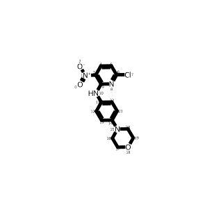 O=[N+]([O-])c1ccc(Cl)nc1Nc1ccc(N2CCOCC2)cc1